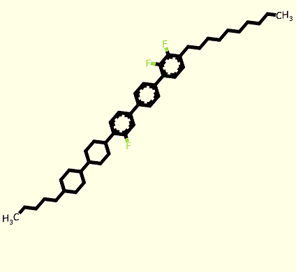 CCCCCCCCCCc1ccc(-c2ccc(-c3ccc(C4CCC(C5CCC(CCCCC)CC5)CC4)c(F)c3)cc2)c(F)c1F